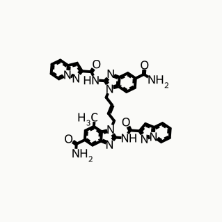 Cc1cc(C(N)=O)cc2nc(NC(=O)c3cc4ccccn4n3)n(CC=CCn3c(NC(=O)c4cc5ccccn5n4)nc4cc(C(N)=O)ccc43)c12